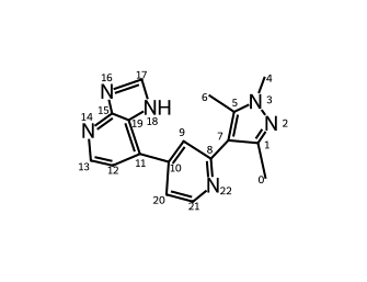 Cc1nn(C)c(C)c1-c1cc(-c2ccnc3nc[nH]c23)ccn1